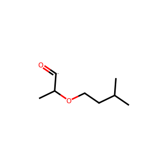 CC(C)CCOC(C)[C]=O